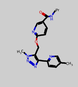 Cc1ccc(-c2nnn(C)c2COc2ccc(C(=O)NC(C)C)cn2)nc1